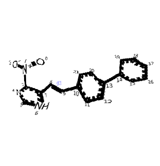 O=[N+]([O-])c1nc[nH]c1/C=C/c1ccc(-c2ccccc2)cc1